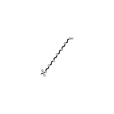 CS(=O)(=O)OCCOCCOCCOCCOCCOCCO